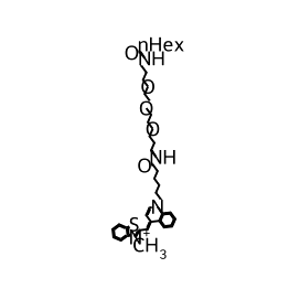 CCCCCCC(=O)NCCCOCCOCCOCCCNC(=O)CCCCCN1C=CC(=Cc2sc3ccccc3[n+]2C)c2ccccc21